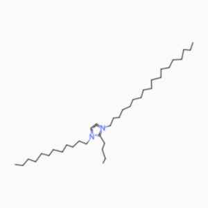 CCCCCCCCCCCCCCCCCCn1cc[n+](CCCCCCCCCCCC)c1CCCC